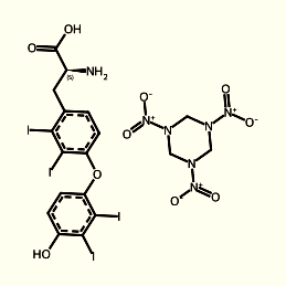 N[C@@H](Cc1ccc(Oc2ccc(O)c(I)c2I)c(I)c1I)C(=O)O.O=[N+]([O-])N1CN([N+](=O)[O-])CN([N+](=O)[O-])C1